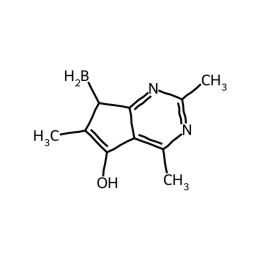 BC1C(C)=C(O)c2c(C)nc(C)nc21